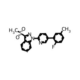 Cc1ccc(F)c(-c2ccc(-n3nc(S(C)(=O)=O)c4cc[c]cc43)nc2)c1